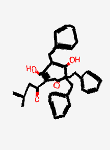 CC(C)CC(=O)C1=C(O)C(Cc2ccccc2)=C(O)C(Cc2ccccc2)(Cc2ccccc2)C1=O